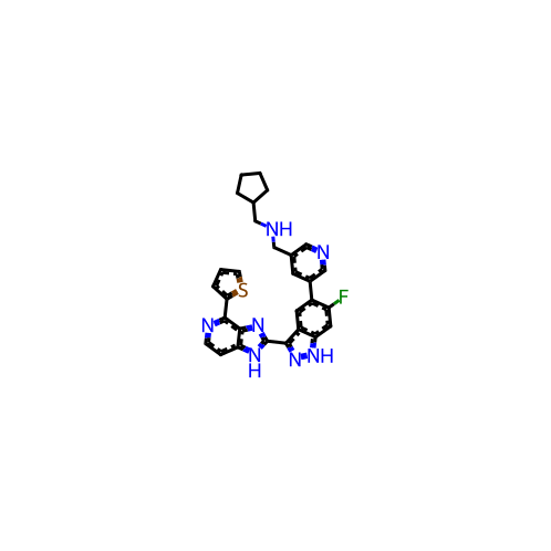 Fc1cc2[nH]nc(-c3nc4c(-c5cccs5)nccc4[nH]3)c2cc1-c1cncc(CNCC2CCCC2)c1